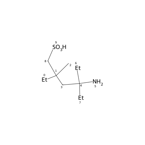 CCC(C)(CC(N)(CC)CC)CS(=O)(=O)O